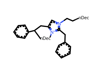 CCCCCCCCCCCCn1cc(CC(C)c2ccccc2)[n+](CCCCCCCCCC)c1Cc1ccccc1